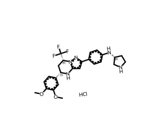 COc1ccc([C@@H]2C[C@H](C(F)(F)F)n3nc(-c4ccc(N[C@@H]5CCNC5)cc4)cc3N2)cc1OC.Cl